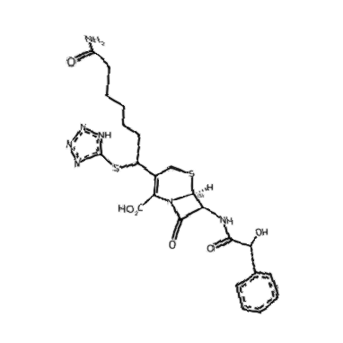 NC(=O)CCCCCC(Sc1nnn[nH]1)C1=C(C(=O)O)N2C(=O)C(NC(=O)C(O)c3ccccc3)[C@@H]2SC1